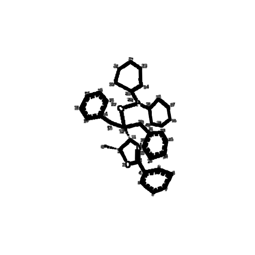 C[C@H]1OC(c2ccccc2)=N[C@H]1C(Cc1ccccc1)(Cc1ccccc1)OP(C1CCCCC1)C1CCCCC1